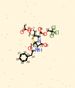 CC(=O)OC[C@@]1(CBr)S[C@H]2C(NC(=O)Cc3ccccc3)C(=O)N2[C@H]1C(=O)OCC(Cl)(Cl)Cl